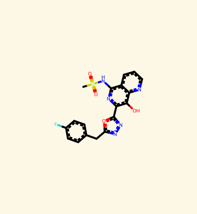 CS(=O)(=O)Nc1nc(-c2nnc(Cc3ccc(F)cc3)o2)c(O)c2ncccc12